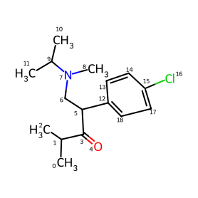 CC(C)C(=O)C(CN(C)C(C)C)c1ccc(Cl)cc1